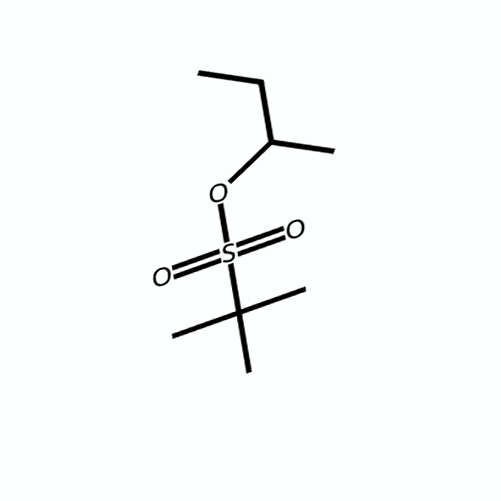 CCC(C)OS(=O)(=O)C(C)(C)C